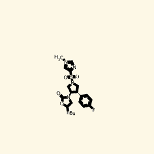 CCCCC1CN([C@H]2CN(S(=O)(=O)c3cn(C)cn3)C[C@@H]2c2ccc(F)cc2)C(=O)O1